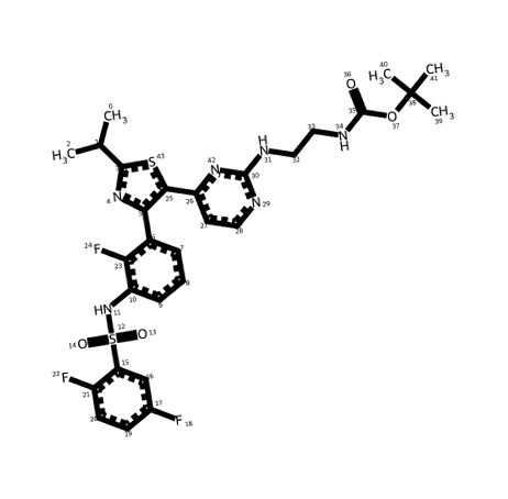 CC(C)c1nc(-c2cccc(NS(=O)(=O)c3cc(F)ccc3F)c2F)c(-c2ccnc(NCCNC(=O)OC(C)(C)C)n2)s1